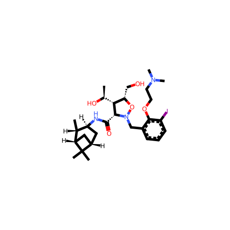 C[C@@H]1[C@@H](NC(=O)[C@@H]2[C@H]([C@H](C)O)[C@H](CO)ON2Cc2cccc(I)c2OCCN(C)C)C[C@H]2C[C@@H]1C2(C)C